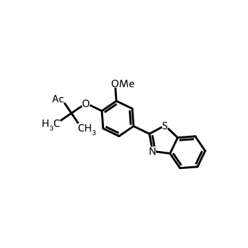 COc1cc(-c2nc3ccccc3s2)ccc1OC(C)(C)C(C)=O